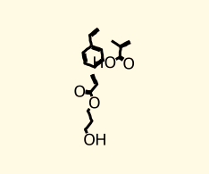 C=C(C)C(=O)O.C=CC(=O)OCCCO.C=Cc1ccccc1